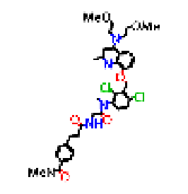 CNC(=O)c1ccc(C=CC(=O)NCC(=O)N(C)c2ccc(Cl)c(COc3cccc4c(N(CCOC)CCOC)cc(C)nc34)c2Cl)cc1